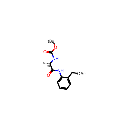 CC(=O)OCc1ccccc1NC(=O)[C@H](C)NC(=O)OC(C)(C)C